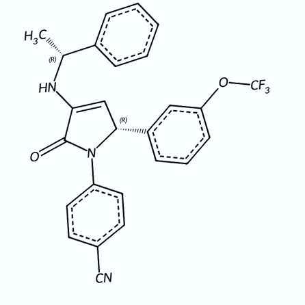 C[C@@H](NC1=C[C@H](c2cccc(OC(F)(F)F)c2)N(c2ccc(C#N)cc2)C1=O)c1ccccc1